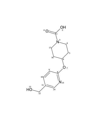 O=C(O)N1CCC(Oc2ccc(CO)cn2)CC1